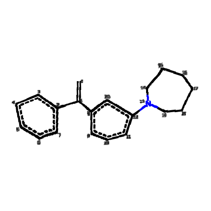 C=C(c1ccccc1)c1cccc(N2CCCCCC2)c1